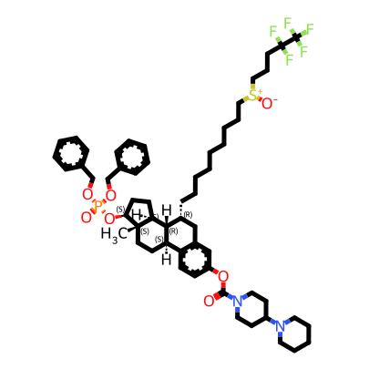 C[C@]12CC[C@@H]3c4ccc(OC(=O)N5CCC(N6CCCCC6)CC5)cc4C[C@@H](CCCCCCCCC[S+]([O-])CCCC(F)(F)C(F)(F)F)[C@H]3[C@@H]1CC[C@@H]2OP(=O)(OCc1ccccc1)OCc1ccccc1